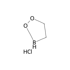 B1CCOO1.Cl